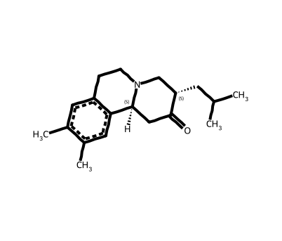 Cc1cc2c(cc1C)[C@@H]1CC(=O)[C@@H](CC(C)C)CN1CC2